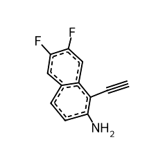 C#Cc1c(N)ccc2cc(F)c(F)cc12